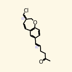 CC(=O)CC/C=C/c1ccc2c(c1)C=C/C(=C/Cl)CO2